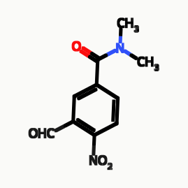 CN(C)C(=O)c1ccc([N+](=O)[O-])c(C=O)c1